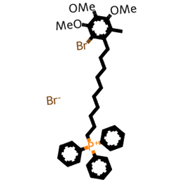 COc1c(C)c(CCCCCCCCCC[P+](c2ccccc2)(c2ccccc2)c2ccccc2)c(Br)c(OC)c1OC.[Br-]